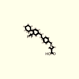 O=C(O)C1CN(Cc2ccc(CCc3ccc(C4CCCCC4)c(C(F)(F)F)c3)cc2)C1